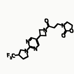 O=C(CCN1CCOC1=O)N1CC(c2cnc(N3CCC(C(F)(F)F)C3)nc2)C1